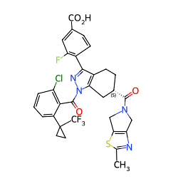 Cc1nc2c(s1)CN(C(=O)[C@H]1CCc3c(-c4ccc(C(=O)O)cc4F)nn(C(=O)c4c(Cl)cccc4C4(C(F)(F)F)CC4)c3C1)C2